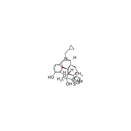 CO[C@]12CC[C@@]3(C[C@@H]1C(C)(O)c1sccc1C)[C@H]1Cc4ccc(O)c5c4[C@@]3(CCN1CC1CC1)[C@H]2O5